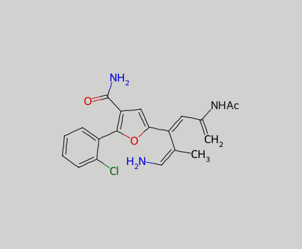 C=C(/C=C(\C(C)=C/N)c1cc(C(N)=O)c(-c2ccccc2Cl)o1)NC(C)=O